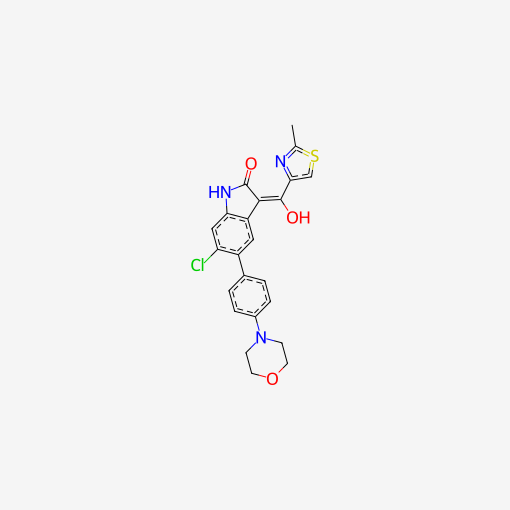 Cc1nc(C(O)=C2C(=O)Nc3cc(Cl)c(-c4ccc(N5CCOCC5)cc4)cc32)cs1